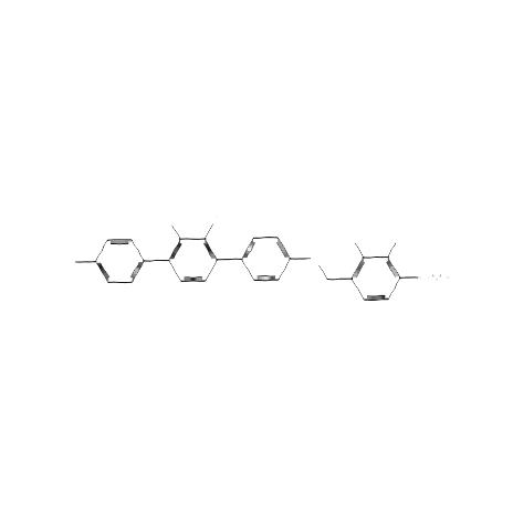 CCc1ccc(-c2ccc(-c3ccc(OCc4ccc(OC)c(F)c4F)cc3)c(F)c2F)cc1